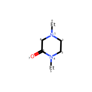 CCN1CCN(CC)C(=O)C1